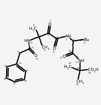 CCC(C)C(NC(=O)C(=O)C(C)(C)NC(=O)Cc1ccccc1)C(=O)NC(C)(C)C(=O)O